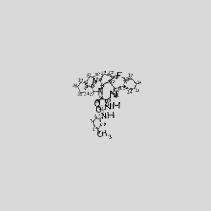 Cc1cccc(NC(=O)N[C@@H]2N=C(c3ccccc3F)c3ccccc3N(Cc3nccc4c3CCCC4)C2=O)c1